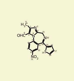 Cc1nc2n(c1C=O)-c1ccc([N+](=O)[O-])cc1C(c1cccs1)=NC2